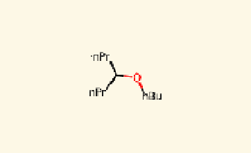 CC[CH]C(CCC)OCCCC